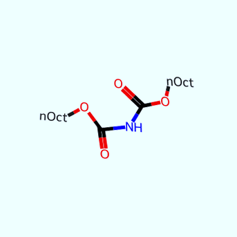 CCCCCCCCOC(=O)NC(=O)OCCCCCCCC